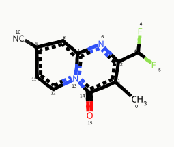 Cc1c(C(F)F)nc2cc(C#N)ccn2c1=O